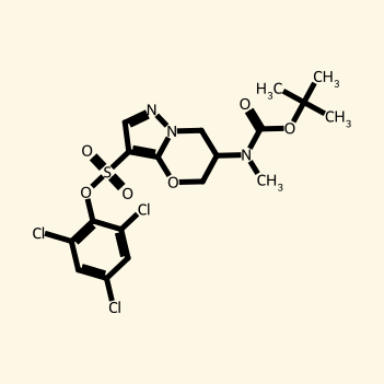 CN(C(=O)OC(C)(C)C)C1COc2c(S(=O)(=O)Oc3c(Cl)cc(Cl)cc3Cl)cnn2C1